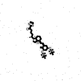 C=C1/C(=C\C=C2/CCC[C@]3(C)[C@@H]([C@@H](C)CCCC(=O)c4nccs4)CC[C@@H]23)C[C@@H](O[Si](C)(C)C(C)(C)C)C[C@@H]1O[Si](C)(C)C(C)(C)C